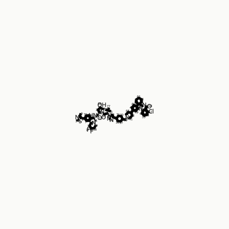 Cc1ncsc1-c1ccc([C@H](CN2CCC(F)(F)CC2)NC(=O)[C@@H]2C[C@@H](O)CN2C(=O)[C@@H](n2cc(C3CCC(CN4CCC(c5ccc6c(c5)-n5c(nc(=O)c7c(Cl)cccc75)C65CCCCC5)CC4)CC3)nn2)C(C)(C)C)cc1